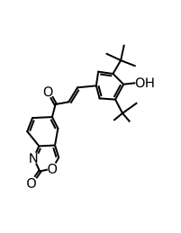 CC(C)(C)c1cc(C=CC(=O)c2ccc3nc(=O)occ3c2)cc(C(C)(C)C)c1O